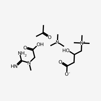 CC(C)=O.CN(C)C.CN(CC(=O)O)C(=N)N.C[N+](C)(C)CC(O)CC(=O)[O-]